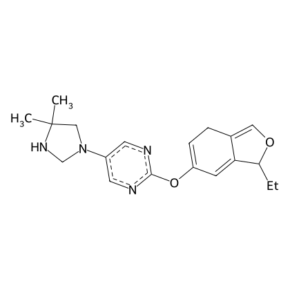 CCC1OC=C2CC=C(Oc3ncc(N4CNC(C)(C)C4)cn3)C=C21